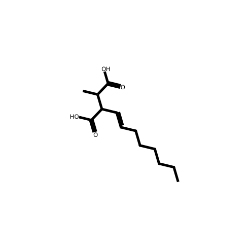 CCCCCC/C=C/C(C(=O)O)C(C)C(=O)O